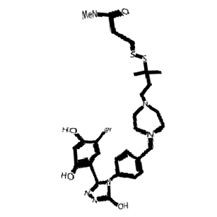 CNC(=O)CCSSC(C)(C)CCN1CCN(Cc2ccc(-n3c(O)nnc3-c3cc(C(C)C)c(O)cc3O)cc2)CC1